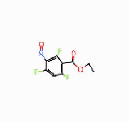 CCOC(=O)c1c(F)cc(F)c(N=O)c1F